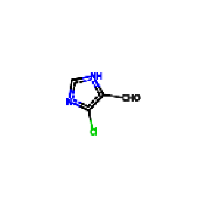 O=Cc1[nH]cnc1Cl